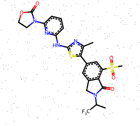 Cc1nc(Nc2cccc(N3CCOC3=O)n2)sc1-c1cc2c(c(S(C)(=O)=O)c1)C(=O)N(C(C)C(F)(F)F)C2